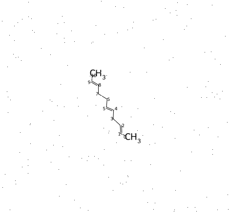 C/C=C/C/C=C/CC/C=C/C